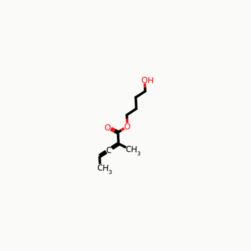 CC=C=C(C)C(=O)OCCCCO